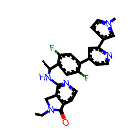 CCN1Cc2c(ccnc2NC(C)c2cc(F)c(-c3ccnc(-c4ccn(C)c4)c3)cc2F)C1=O